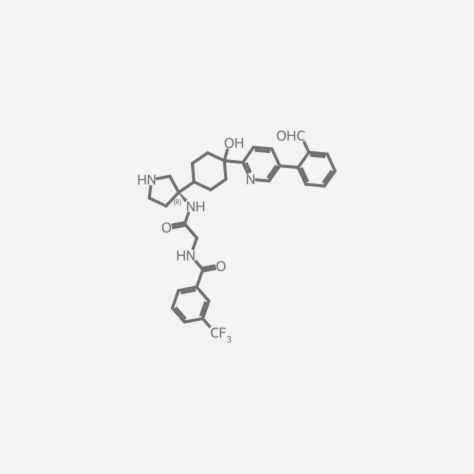 O=Cc1ccccc1-c1ccc(C2(O)CCC([C@]3(NC(=O)CNC(=O)c4cccc(C(F)(F)F)c4)CCNC3)CC2)nc1